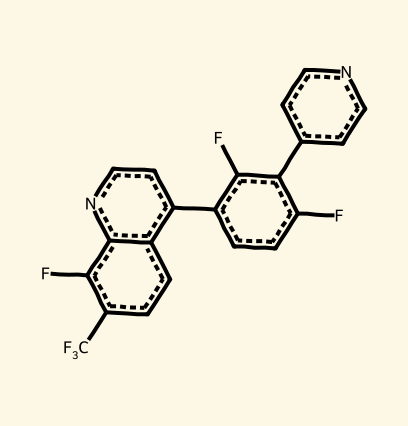 Fc1ccc(-c2ccnc3c(F)c(C(F)(F)F)ccc23)c(F)c1-c1ccncc1